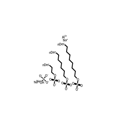 CCCCCCCCCCCCCCCCCCOS(=O)(=O)[O-].CCCCCCCCCCCCCCCCOS(=O)(=O)[O-].CCCCCCCCCCCCOS(=O)(=O)[O-].[Al+3].[Na+].[Na+].[Na+].[O-][Si]([O-])([O-])O